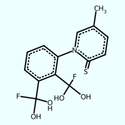 Cc1ccc(=S)n(-c2cccc(C(O)(O)F)c2C(O)(O)F)c1